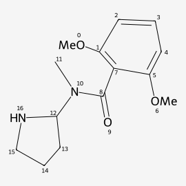 COc1cccc(OC)c1C(=O)N(C)C1CCCN1